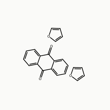 O=C1c2ccccc2C(=O)c2ccccc21.c1ccoc1.c1ccoc1